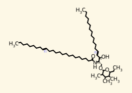 CCCCCCCC/C=C/CCCCCCCCCCCCCC(=O)N[C@@H](COC1OC(CC)C(C)C(C)C1C)[C@H](O)/C=C/CCCCCCCCCCCCC